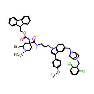 CC(C)(C)C1CC(NC(=O)OCC2c3ccccc3-c3ccccc32)(C(=O)NCCCn2cc(-c3ccc(OC(F)(F)F)cc3)c3cc(CN4CC5CC4CN5Cc4c(Cl)cccc4Cl)ccc32)CCN1C(=O)O